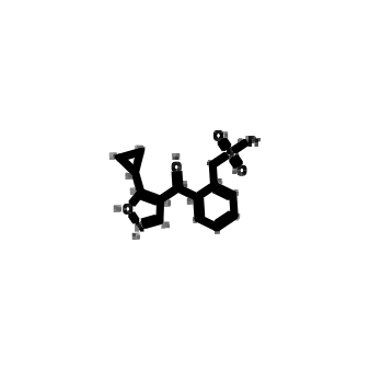 CC(C)S(=O)(=O)Cc1ccccc1C(=O)c1cnoc1C1CC1